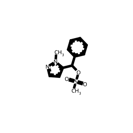 Cn1nccc1C(OS(C)(=O)=O)c1ccccc1